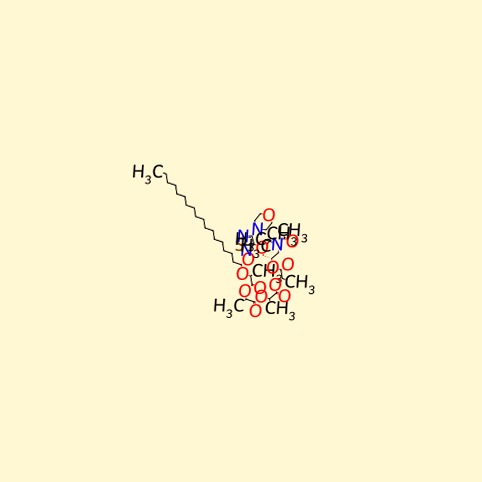 CCCCCCCCCCCCCCCCCC(=O)OC(C)C(=O)OC(C)C(=O)OC(C)C(=O)OC(C)C(=O)O[C@H](COc1nsnc1N1CCOCC1)CN(C(C)=O)C(C)(C)C